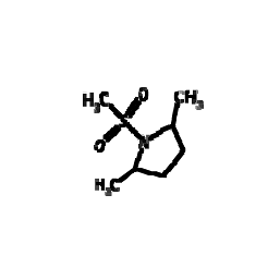 CC1CCC(C)N1S(C)(=O)=O